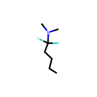 CCCCC(F)(F)N(C)C